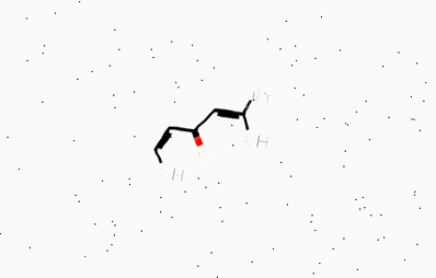 C/C=C\C(=O)/C=C(\C)C(C)C